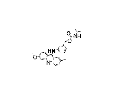 COc1ccc2c(Nc3cccc(COC(=O)NC(C)C)c3)c3cc(C)ccc3nc2c1